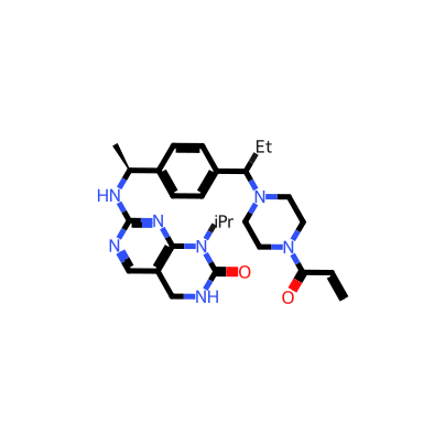 C=CC(=O)N1CCN(C(CC)c2ccc([C@H](C)Nc3ncc4c(n3)N(C(C)C)C(=O)NC4)cc2)CC1